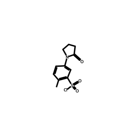 Cc1ccc(N2CCCC2=O)cc1S(=O)(=O)Cl